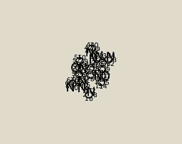 c1ccc(-c2cc(-c3cc(N4c5ccccc5Oc5ccccc54)c4cc(-c5cc(-c6cccnc6)nc(-c6ccccn6)n5)cc(N5c6ccccc6Oc6ccccc65)c4c3)nc(-c3cccnc3)n2)nc1